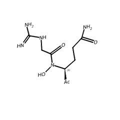 CC(=O)[C@H](CCC(N)=O)N(O)C(=O)CNC(=N)N